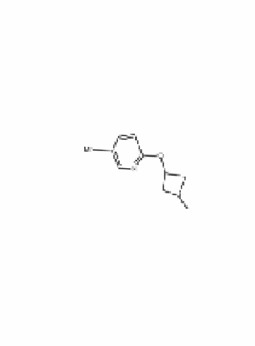 CN1CC(Oc2ccc(Br)cn2)C1